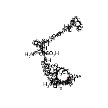 COc1cc2cc(c1Cl)N(C)C(=O)C[C@H](OC(=O)[C@H](C)N(C)C(=O)CCSC1CC(=O)N(CC3CCC(C(=O)NCCCC(NC(=O)[C@H](CCCCN)NC(=O)C(Cc4ccccc4)NC(=O)CCOCCOCCOCCOCCC(=O)NCC(=O)N4Cc5ccccc5C#CC5C=CC=CC54)C(=O)O)CC3)C1=O)[C@]1(C)O[C@H]1[C@H](C)[C@@H]1C[C@@](O)(NC(=O)O1)[C@H](OC)/C=C/C=C(\C)C2